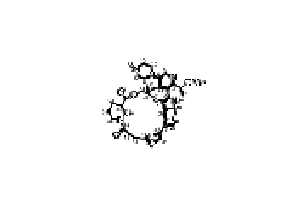 CO[C@@H](C)c1ncc(N2CCN(C)CC2)cc1-c1[nH]c2ccc3cc2c1CC(C)(C)COC(=O)C1CCCN(N1)C(=O)CCc1nc-3cs1